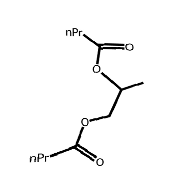 CCCC(=O)OCC(C)OC(=O)CCC